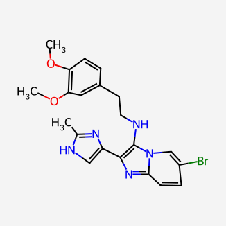 COc1ccc(CCNc2c(-c3c[nH]c(C)n3)nc3ccc(Br)cn23)cc1OC